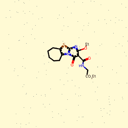 CCOC(=O)CNC(=O)c1c(OCC)nc2sc3c(n2c1=O)CCCCC3